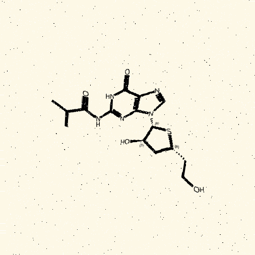 CC(C)C(=O)Nc1nc2c(ncn2[C@@H]2S[C@H](CCO)C[C@H]2O)c(=O)[nH]1